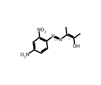 C/C(O)=C(C)/N=N/c1ccc([N+](=O)[O-])cc1[N+](=O)[O-]